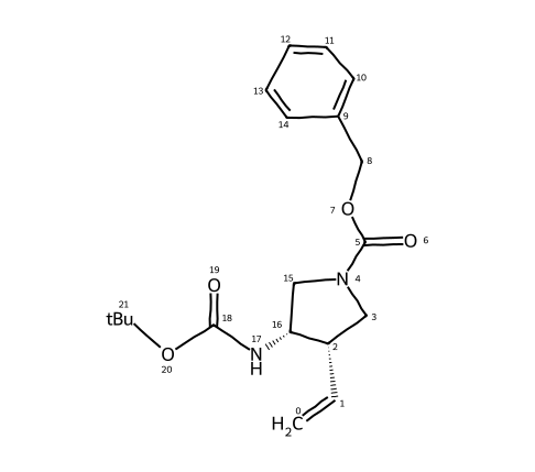 C=C[C@H]1CN(C(=O)OCc2ccccc2)C[C@H]1NC(=O)OC(C)(C)C